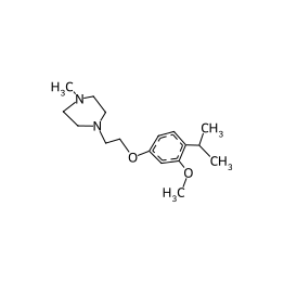 COc1cc(OCCN2CCN(C)CC2)ccc1C(C)C